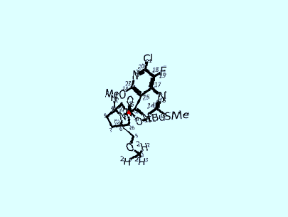 [2H]C([2H])([2H])OC[C@]12CC[C@H](CN(c3nc(SC)nc4c(F)c(Cl)nc(OC)c34)C1)N2C(=O)OC(C)(C)C